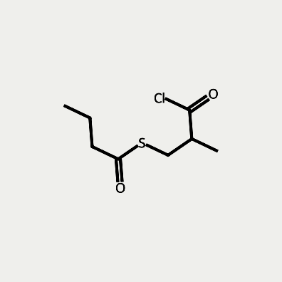 CCCC(=O)SCC(C)C(=O)Cl